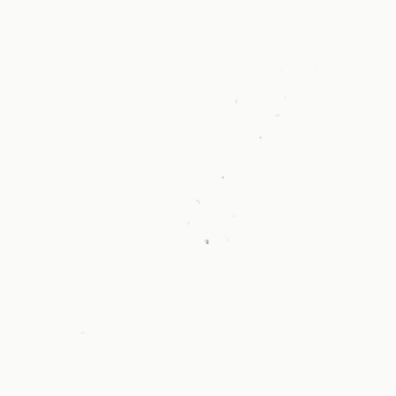 CCCCCCCOc1ccc(C#Cc2ccc(OC(F)(F)F)cc2)nc1